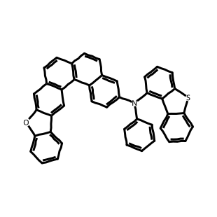 c1ccc(N(c2ccc3c(ccc4ccc5cc6oc7ccccc7c6cc5c43)c2)c2cccc3sc4ccccc4c23)cc1